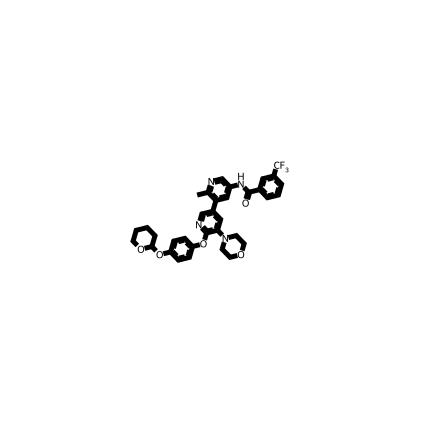 Cc1ncc(NC(=O)c2cccc(C(F)(F)F)c2)cc1-c1cnc(Oc2ccc(OC3CCCCO3)cc2)c(N2CCOCC2)c1